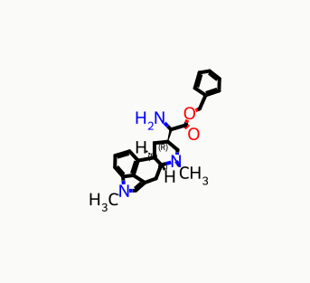 CN1C[C@H](C(N)C(=O)OCc2ccccc2)C[C@@H]2c3cccc4c3c(cn4C)C[C@H]21